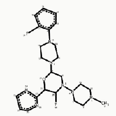 CN1CCN(N2CC(N3CCN(c4ccccc4F)CC3)OC(c3ncccn3)C2F)CC1